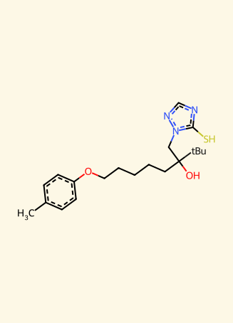 Cc1ccc(OCCCCCC(O)(Cn2ncnc2S)C(C)(C)C)cc1